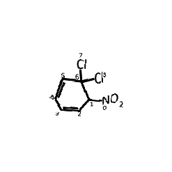 O=[N+]([O-])C1C=CC=CC1(Cl)Cl